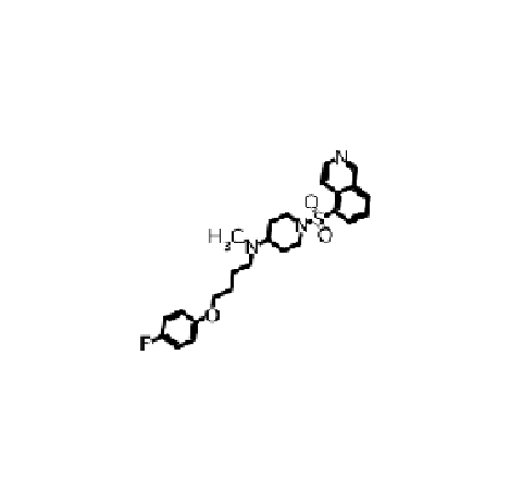 CN(CCCCOc1ccc(F)cc1)C1CCN(S(=O)(=O)c2cccc3cnccc23)CC1